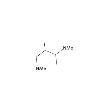 CNCC(C)C(C)NC